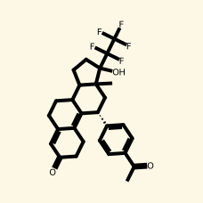 CC(=O)c1ccc([C@H]2CC3(C)C(CCC3(O)C(F)(F)C(F)(F)F)C3CCC4=CC(=O)CCC4=C32)cc1